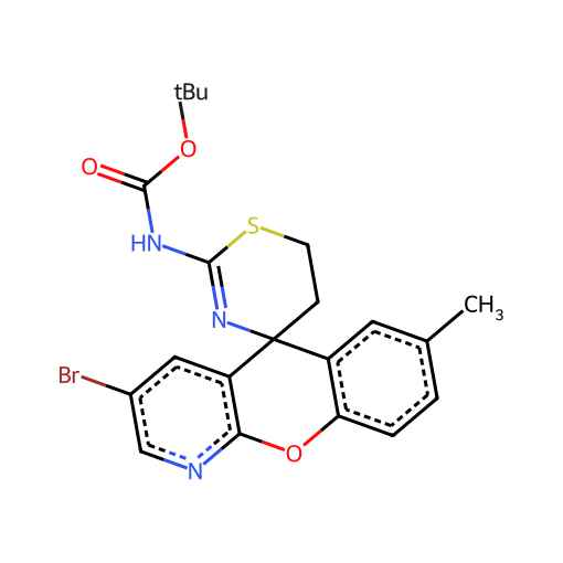 Cc1ccc2c(c1)C1(CCSC(NC(=O)OC(C)(C)C)=N1)c1cc(Br)cnc1O2